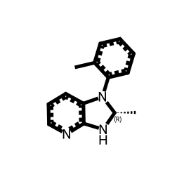 Cc1ccccc1N1c2cccnc2N[C@H]1C